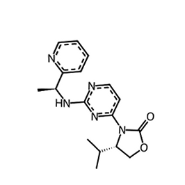 CC(C)[C@H]1COC(=O)N1c1ccnc(N[C@@H](C)c2ccccn2)n1